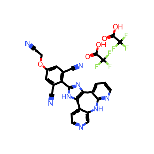 N#CCOc1cc(C#N)c(-c2nc3c([nH]2)-c2ccncc2Nc2ncccc2-3)c(C#N)c1.O=C(O)C(F)(F)F.O=C(O)C(F)(F)F